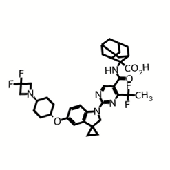 CC(F)(F)c1nc(N2CC3(CC3)c3cc(O[C@H]4CC[C@H](N5CC(F)(F)C5)CC4)ccc32)ncc1C(=O)NC1(C(=O)O)C2CC3CC(C2)CC1C3